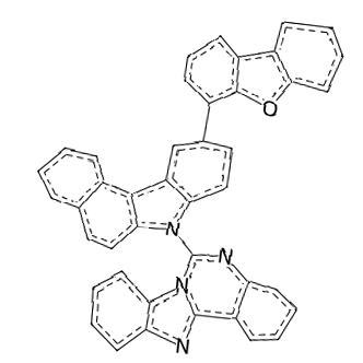 c1ccc2c(c1)ccc1c2c2cc(-c3cccc4c3oc3ccccc34)ccc2n1-c1nc2ccccc2c2nc3ccccc3n12